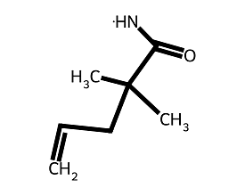 C=CCC(C)(C)C([NH])=O